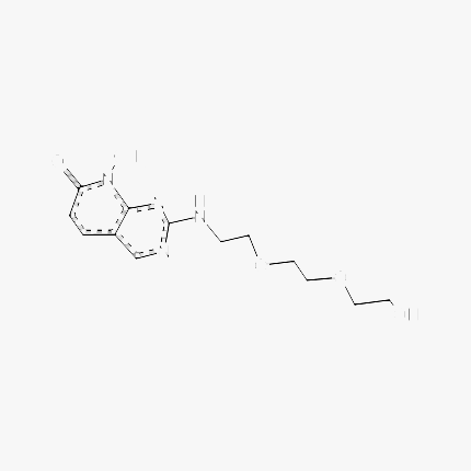 Cn1c(=O)ccc2cnc(NCCOCCOCCO)nc21